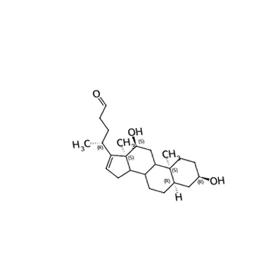 C[C@H](CCC=O)C1=CCC2C3CC[C@@H]4C[C@H](O)CC[C@]4(C)C3C[C@H](O)[C@]12C